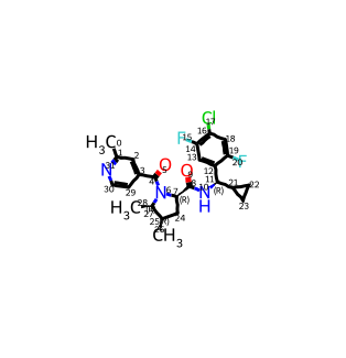 Cc1cc(C(=O)N2[C@@H](C(=O)N[C@@H](c3cc(F)c(Cl)cc3F)C3CC3)C[C@@H](C)[C@H]2C)ccn1